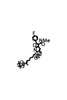 CNC(=O)c1c(-c2ccc(F)cc2)oc2nc(N(CCCCC=C(C)B3OC(C)(C)C(C)(C)O3)S(C)(=O)=O)c(I)cc12